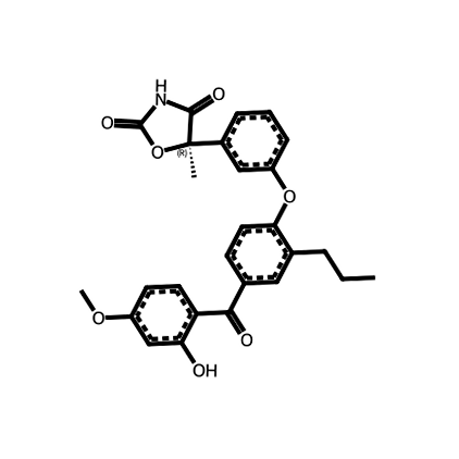 CCCc1cc(C(=O)c2ccc(OC)cc2O)ccc1Oc1cccc([C@@]2(C)OC(=O)NC2=O)c1